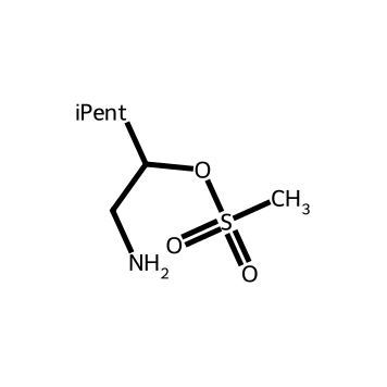 CCCC(C)C(CN)OS(C)(=O)=O